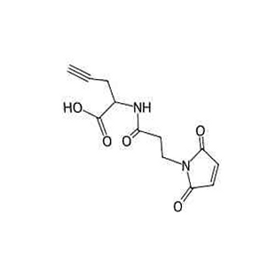 C#CCC(NC(=O)CCN1C(=O)C=CC1=O)C(=O)O